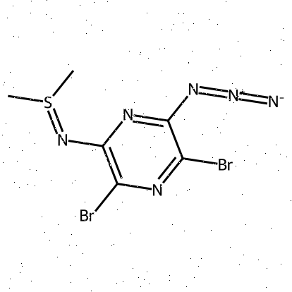 CS(C)=Nc1nc(N=[N+]=[N-])c(Br)nc1Br